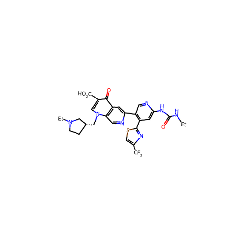 CCNC(=O)Nc1cc(-c2nc(C(F)(F)F)cs2)c(-c2cc3c(=O)c(C(=O)O)cn(C[C@@H]4CCN(CC)C4)c3cn2)cn1